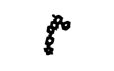 C[C@H]1CCC(c2ccccc2)SN1Cc1ccc(N2CCC(n3cnnn3)CC2)cc1F